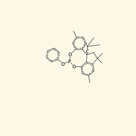 Cc1cc2c3c(c1)C(C)(C)CC31CC(C)(C)c3cc(C)cc(c31)OP(Oc1ccccc1)O2